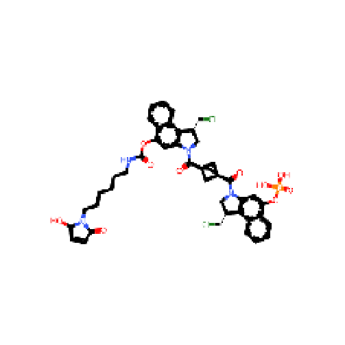 O=C(NCCCCCCN1C(=O)C=CC1O)Oc1cc2c(c3ccccc13)[C@H](CCl)CN2C(=O)C12CC(C(=O)N3C[C@@H](CCl)c4c3cc(OP(=O)(O)O)c3ccccc43)(C1)C2